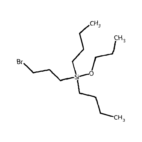 CCCC[Si](CCCC)(CCCBr)OCCC